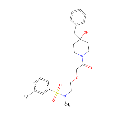 CN(CCOCC(=O)N1CCC(O)(Cc2ccccc2)CC1)S(=O)(=O)c1cccc(C(F)(F)F)c1